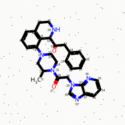 CC1CN(c2cccc3c2C(C(=O)Cc2ccccc2)NCC3)CCN1C(=O)Cn1cnc2cccnc21